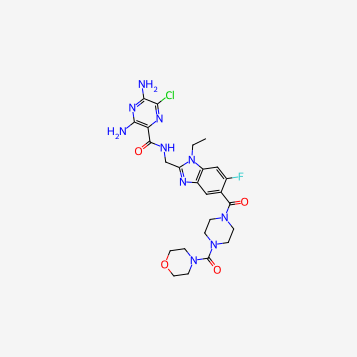 CCn1c(CNC(=O)c2nc(Cl)c(N)nc2N)nc2cc(C(=O)N3CCN(C(=O)N4CCOCC4)CC3)c(F)cc21